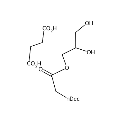 CCCCCCCCCCCC(=O)OCC(O)CO.O=C(O)CCC(=O)O